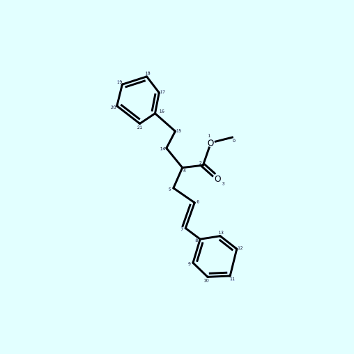 COC(=O)C(C/C=C/c1ccccc1)CCc1ccccc1